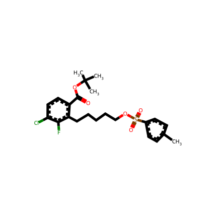 Cc1ccc(S(=O)(=O)OCCCCCc2c(C(=O)OC(C)(C)C)ccc(Cl)c2F)cc1